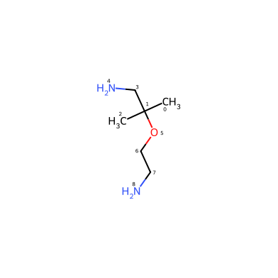 CC(C)(CN)OCCN